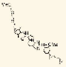 COCCOCCOCCn1nc(C)c(NC(=O)c2ccn3c2CCc2cnc(Nc4ccc(N(C)CCCN(C)C)cc4OC)nc2-3)c1C